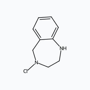 ClN1CCNc2ccccc2C1